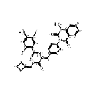 Cn1c(=O)n(-c2ccc(C[C@H](NC(=O)c3cc(F)c(N)cc3F)C(=O)OCC3CCC3)cn2)c(=O)c2ccncc21